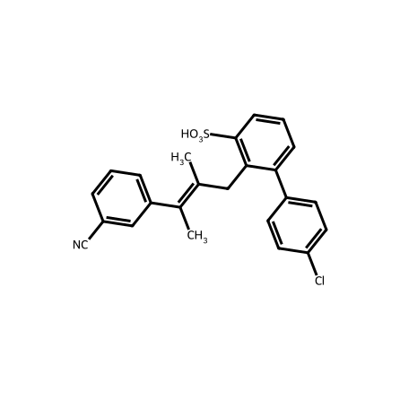 CC(Cc1c(-c2ccc(Cl)cc2)cccc1S(=O)(=O)O)=C(C)c1cccc(C#N)c1